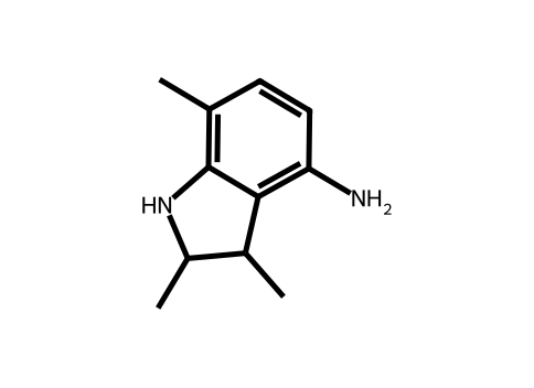 Cc1ccc(N)c2c1NC(C)C2C